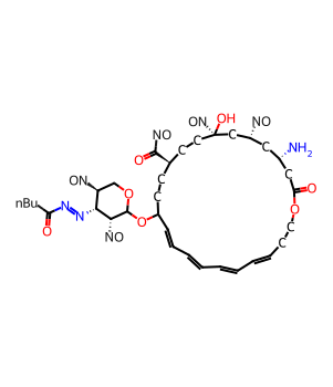 CCCCC(=O)N=N[C@@H]1[C@@H](N=O)COC(OC2/C=C/C=C/C=C/C=C/CCOC(=O)C[C@@H](N)C[C@@H](N=O)C[C@@](O)(N=O)CC[C@H](C(=O)N=O)CC2)[C@@H]1N=O